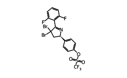 O=S(=O)(Oc1ccc([C@H]2CC(Br)(Br)C(c3c(F)cccc3F)=N2)cc1)C(F)(F)F